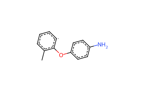 Cc1ccc[c]c1Oc1ccc(N)cc1